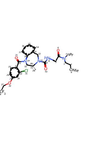 CCCN(CCOC)C(=O)CNC(=O)N1Cc2ccccc2N(C(=O)c2ccc(OCC(F)(F)F)cc2Cl)C[C@H]1C